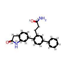 NC(=O)CCc1cc(-c2ccccc2)ccc1-c1ccc2c(c1)NC(=O)C2